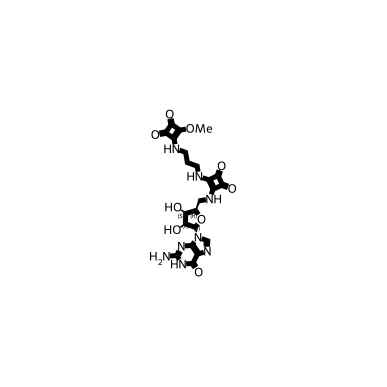 COc1c(NCCCNc2c(NC[C@H]3O[C@H](n4cnc5c(=O)[nH]c(N)nc54)[C@H](O)[C@@H]3O)c(=O)c2=O)c(=O)c1=O